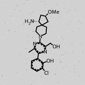 CO[C@@H]1C[C@@H](N)C2(CCN(c3nc(C)c(-c4cccc(Cl)c4O)nc3CO)CC2)C1